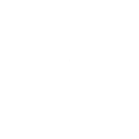 CC(C)[O][Ti]([CH3])([O]C(C)C)[O]C(C)C.CCCC1CO1